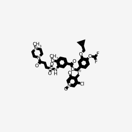 COc1ccc(C(=O)O[C@@H](Cc2c(Cl)c[n+]([O-])cc2Cl)c2ccc(OC(F)F)c(OCC3CC3)c2)cc1NS(=O)(=O)CCC(=O)N1CCN(C)CC1